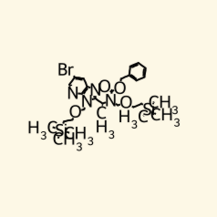 C[C@H](c1nc2cc(Br)cnc2n1COCC[Si](C)(C)C)N(COCC[Si](C)(C)C)C(=O)OCc1ccccc1